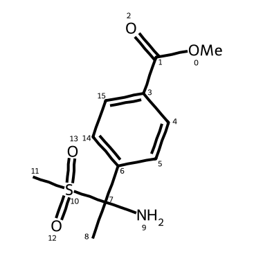 COC(=O)c1ccc(C(C)(N)S(C)(=O)=O)cc1